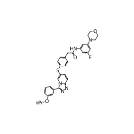 CCCOc1cccc(-c2nnc3ccc(Sc4ccc(CC(=O)Nc5cc(F)cc(N6CCOCC6)c5)cc4)cn23)c1